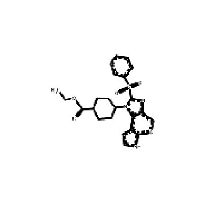 CCOC(=O)C1CCC(n2c(S(=O)(=O)c3ccccc3)nc3cnc4[nH]ccc4c32)CC1